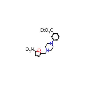 CCOC(=O)c1cccc(N2CCN(Cc3ccc([N+](=O)[O-])o3)CC2)c1